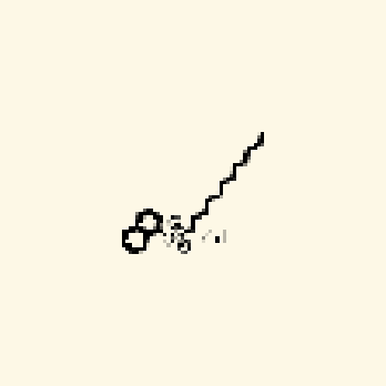 CCCCCCCCCCCCS(=O)(=O)Oc1cccc2ccccc12.[Cd]